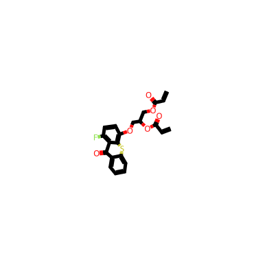 C=CC(=O)OCC(COc1ccc(F)c2c(=O)c3ccccc3sc12)OC(=O)C=C